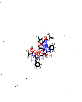 COC(=O)C(NC(=O)[C@H](Cc1ccccc1)NC(=O)CC[C@H](O)[C@H](Cc1ccccc1)NC(=O)C(NC(=O)[C@H](CC(C)C)NC(=O)CC(C)C)C(C)C)C(C)C